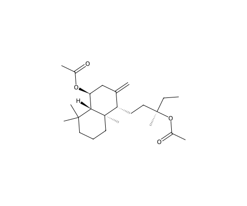 C=C1C[C@H](OC(C)=O)[C@H]2C(C)(C)CCC[C@]2(C)[C@H]1CC[C@@](C)(CC)OC(C)=O